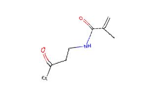 C=C(C)C(=O)NCCC(=O)CC